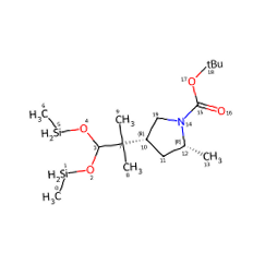 C[SiH2]OC(O[SiH2]C)C(C)(C)[C@H]1C[C@@H](C)N(C(=O)OC(C)(C)C)C1